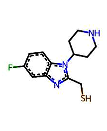 Fc1ccc2c(c1)nc(CS)n2C1CCNCC1